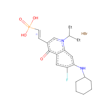 Br.CCC(CC)n1cc(/C=C/P(=O)(O)O)c(=O)c2cc(F)c(NC3CCCCC3)cc21